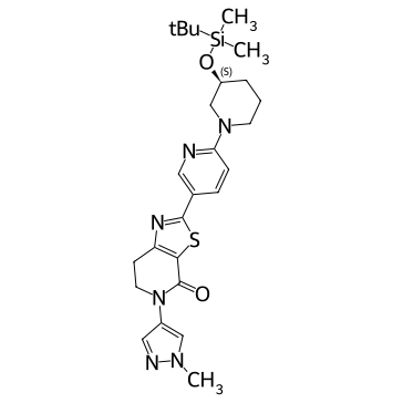 Cn1cc(N2CCc3nc(-c4ccc(N5CCC[C@H](O[Si](C)(C)C(C)(C)C)C5)nc4)sc3C2=O)cn1